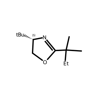 CCC(C)(C)C1=N[C@@H](C(C)(C)C)CO1